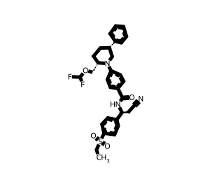 CCS(=O)(=O)c1ccc([C@H](CC#N)NC(=O)c2ccc(N3C[C@@H](c4ccccc4)CC[C@H]3COC(F)F)cc2)cc1